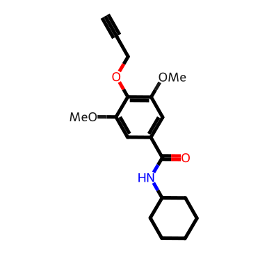 C#CCOc1c(OC)cc(C(=O)NC2CCCCC2)cc1OC